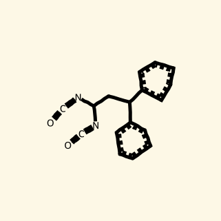 O=C=NC(CC(c1ccccc1)c1ccccc1)N=C=O